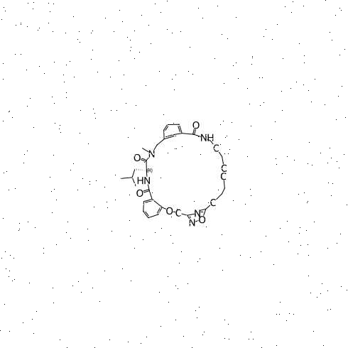 CC(C)C[C@H]1NC(=O)c2ccccc2OCc2noc(n2)CCCCCCCCNC(=O)c2cccc(c2)CN(C)C1=O